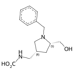 O=C(O)NC[C@H]1C[C@@H](CO)N(Cc2ccccc2)C1